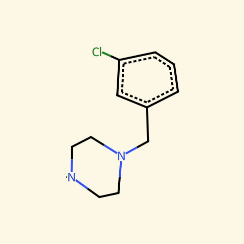 Clc1cccc(CN2CC[N]CC2)c1